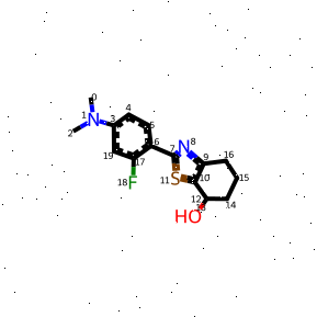 CN(C)c1ccc(-c2nc3c(s2)C(O)CCC3)c(F)c1